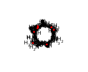 CC(C)CC1NC(=O)C(Cc2cnc[nH]2)NC(=O)C2CCCN2C(=O)C(CC(N)=O)NC(=O)C(C)NC(=O)C(Cc2ccccc2)NC(=O)CSC[C@@H](C(=O)NCC(N)=O)NC(=O)C(CCCNC(=N)N)NC(=O)C(C)N(C)C(=O)C(Cc2ccc(-c3ccccc3)cc2)NC(=O)C(Cc2c[nH]c3ccccc23)NC(=O)[C@H](CO)NC(=O)C(Cc2c[nH]c3ccccc23)NC(=O)CNC1=O